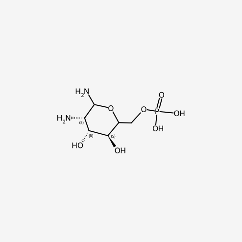 NC1OC(COP(=O)(O)O)[C@@H](O)[C@H](O)[C@@H]1N